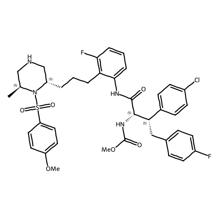 COC(=O)N[C@H](C(=O)Nc1cccc(F)c1CCC[C@H]1CNC[C@H](C)N1S(=O)(=O)c1ccc(OC)cc1)[C@@H](Cc1ccc(F)cc1)c1ccc(Cl)cc1